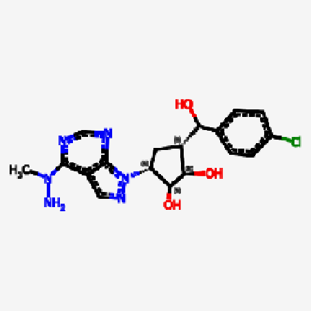 CN(N)c1ncnc2c1cnn2[C@@H]1C[C@H](C(O)c2ccc(Cl)cc2)[C@@H](O)[C@H]1O